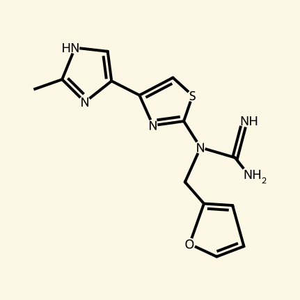 Cc1nc(-c2csc(N(Cc3ccco3)C(=N)N)n2)c[nH]1